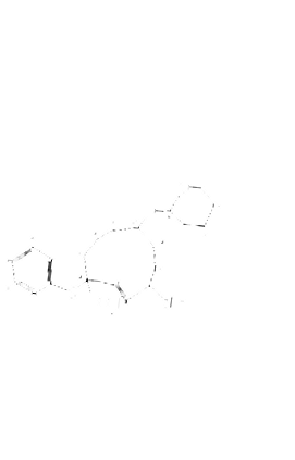 CC(C)C1/C=C/C(Sc2ccccc2)(C(=O)O)CCCC(OC2CCCCO2)CC1